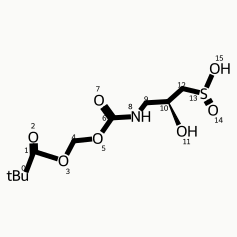 CC(C)(C)C(=O)OCOC(=O)NC[C@H](O)CS(=O)O